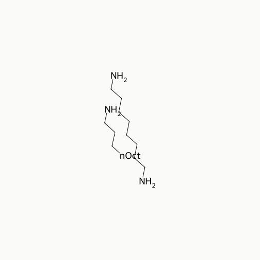 CCCCCCCCCCCN.NCCCCCCCCN